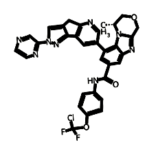 C[C@@H]1COCc2nc3cc(C(=O)Nc4ccc(OC(F)(F)Cl)cc4)cc(-c4cnc5c(c4)-c4nn(-c6cnccn6)cc4C5)c3n21